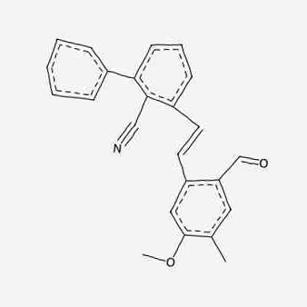 COc1cc(/C=C/c2cccc(-c3ccccc3)c2C#N)c(C=O)cc1C